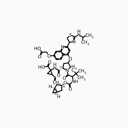 C=CC1CC1(NC(=O)[C@@H]1CC(Oc2cc(C3CSC(NC(C)C)=N3)nc3cc(OCC(=O)O)ccc23)CN1C(=O)C(NC(=O)O[C@@H]1C[C@@H]2C[C@@H]2C1)C(C)(C)C)C(=O)O